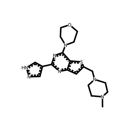 CN1CCN(Cc2cc3nc(-c4cn[nH]c4)nc(N4CCOCC4)c3s2)CC1